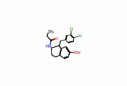 CC(C)(C)CC(=O)NC1CCc2ccc(O)cc2C1Cc1ccc(Cl)c(Cl)c1